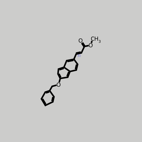 COC(=O)/C=C/c1ccc2cc(OCc3ccccc3)ccc2c1